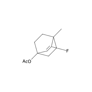 CC(=O)OC12C=C(F)C(C)(CC1)CC2